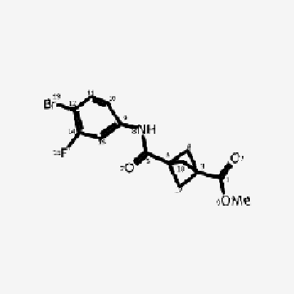 COC(=O)C12CC(C(=O)Nc3ccc(Br)c(F)c3)(C1)C2